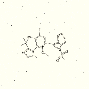 COc1c(-c2cn(S(C)(=O)=O)c3ccccc23)cc(F)c2c1-n1c(C)nnc1C(C)(C)N2